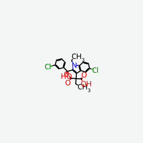 CCn1c(C(=O)c2cccc(Cl)c2)c(C(CC)(C(=O)O)C(=O)O)c2cc(Cl)ccc21